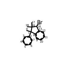 CC1(c2ccccc2)c2ccccc2C(Br)C1(C)C